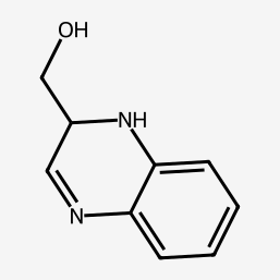 OCC1C=Nc2ccccc2N1